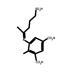 C/C(CCCS(=O)(=O)O)=N/c1cc(C(=O)O)cc(C(=O)O)c1C